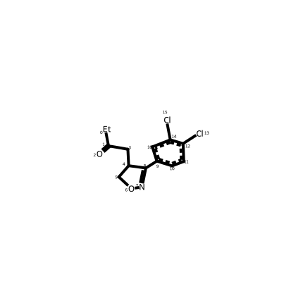 CCC(=O)CC1CON=C1c1ccc(Cl)c(Cl)c1